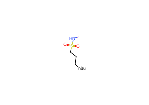 CCCCCCCS(=O)(=O)NI